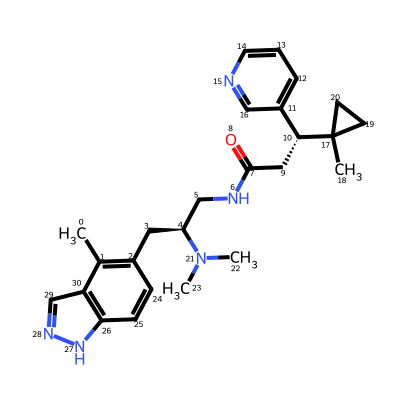 Cc1c(C[C@@H](CNC(=O)C[C@H](c2cccnc2)C2(C)CC2)N(C)C)ccc2[nH]ncc12